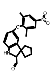 Cc1cc([N+](=O)[O-])cc(C)c1Oc1ccc2c(c1)C1(CCCC1)C(C=O)N2